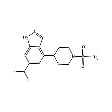 CS(=O)(=O)N1CCC(c2cc(C(F)F)cc3[nH]ncc23)CC1